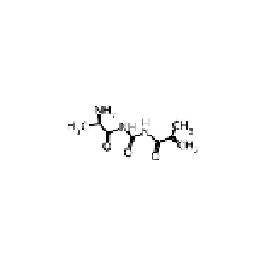 C=C(C)C(=O)NC(=O)NC(=O)C(C)N